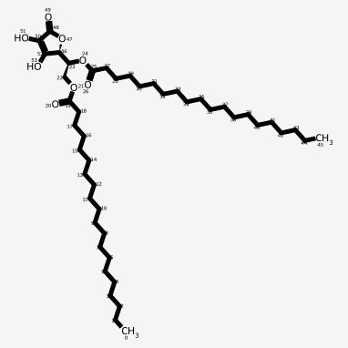 CCCCCCCCCCCCCCCCCCCC(=O)OC[C@H](OC(=O)CCCCCCCCCCCCCCCCCCC)[C@H]1OC(=O)C(O)=C1O